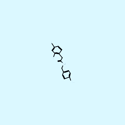 CC(C)(C)c1ccc(CNC(=O)Cc2ccc(Cl)cc2Cl)cc1